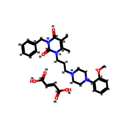 COc1ccccc1N1CCN(CCCn2c(C)c(C)c(=O)n(Cc3ccccc3)c2=O)CC1.O=C(O)C=CC(=O)O